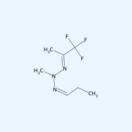 CC/C=N\N(C)/N=C(\C)C(F)(F)F